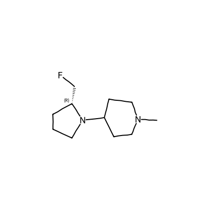 CN1CCC(N2CCC[C@@H]2CF)CC1